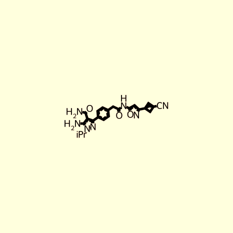 CC(C)n1nc(-c2ccc(CC(=O)Nc3cc(C45CC(C#N)(C4)C5)no3)cc2)c(C(N)=O)c1N